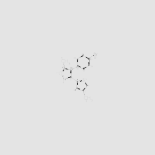 Cc1csc(-c2noc(C)c2-c2ccc(Br)cc2)c1